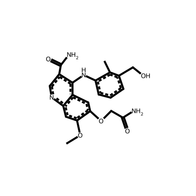 COc1cc2ncc(C(N)=O)c(Nc3cccc(CO)c3C)c2cc1OCC(N)=O